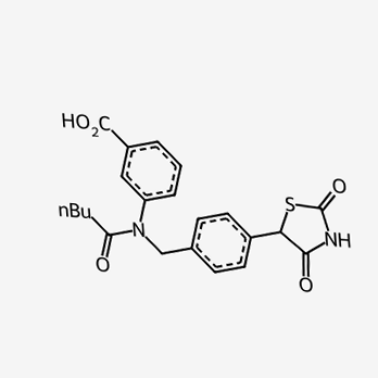 CCCCC(=O)N(Cc1ccc(C2SC(=O)NC2=O)cc1)c1cccc(C(=O)O)c1